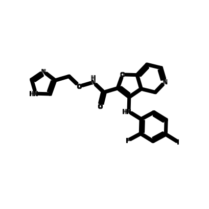 O=C(NOCc1c[nH]cn1)C1=C(Nc2ccc(I)cc2F)C2CN=CC=C2O1